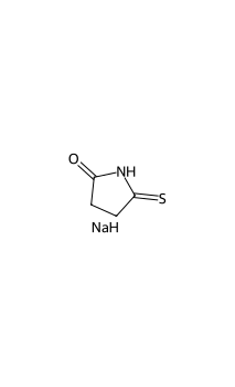 O=C1CCC(=S)N1.[NaH]